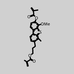 C=C(C)C(=O)OCCCc1ccc2c(sc3c(OC)c(OC(=O)C(=C)C)ccc32)c1C